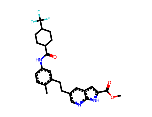 COC(=O)c1cc2cc(CCc3cc(NC(=O)C4CCC(C(F)(F)F)CC4)ccc3C)cnc2[nH]1